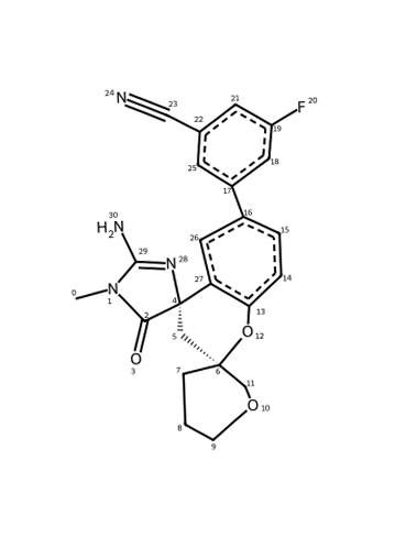 CN1C(=O)[C@@]2(C[C@]3(CCCOC3)Oc3ccc(-c4cc(F)cc(C#N)c4)cc32)N=C1N